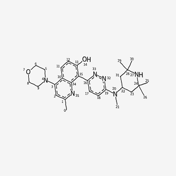 Cc1cc(N2CCOCC2)c2ccc(O)c(-c3ccc(N(C)C4CC(C)(C)NC(C)(C)C4)nn3)c2n1